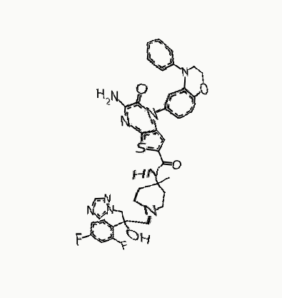 CC1(NC(=O)c2cc3c(nc(N)c(=O)n3-c3ccc4c(c3)N(c3ccccc3)CCO4)s2)CCN(CC(O)(Cn2cncn2)c2ccc(F)cc2F)CC1